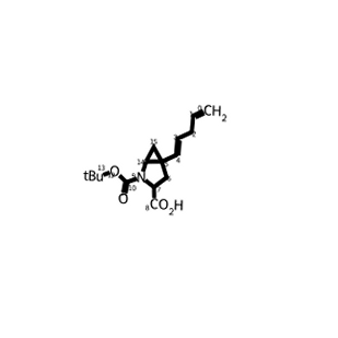 C=CC/C=C/C12CC(C(=O)O)N(C(=O)OC(C)(C)C)C1C2